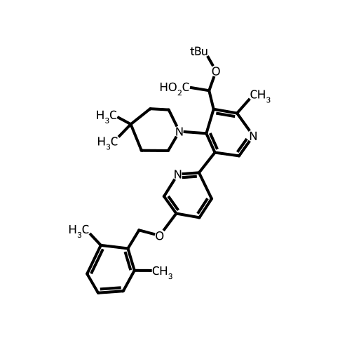 Cc1cccc(C)c1COc1ccc(-c2cnc(C)c(C(OC(C)(C)C)C(=O)O)c2N2CCC(C)(C)CC2)nc1